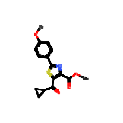 CCOc1ccc(-c2nc(C(=O)OC(C)(C)C)c(C(=O)C3CC3)s2)cc1